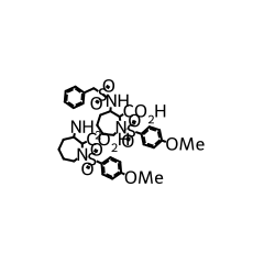 COc1ccc(S(=O)(=O)N2CCCCC(N)C2C(=O)O)cc1.COc1ccc(S(=O)(=O)N2CCCCC(NS(=O)(=O)Cc3ccccc3)C2C(=O)O)cc1